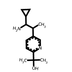 CC(c1ccc(C(C)(C)O)nc1)C(N)C1CC1